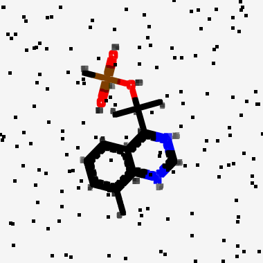 Cc1cccc2c(C(C)(C)OS(C)(=O)=O)ncnc12